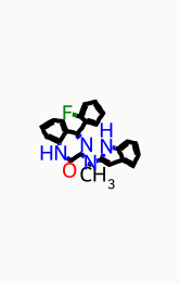 CN(c1cc2ccccc2[nH]1)C1N=C(c2ccccc2F)c2ccccc2NC1=O